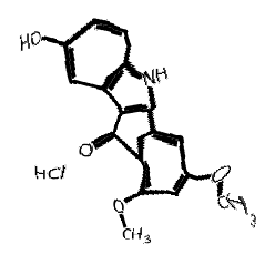 COc1cc(OC)c2c(c1)-c1[nH]c3ccc(O)cc3c1C2=O.Cl